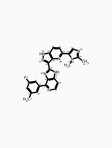 Cc1cc(F)cc(-c2nccc3[nH]c(-c4n[nH]c5ccc(-c6cnc(C)n6C)nc45)nc23)c1